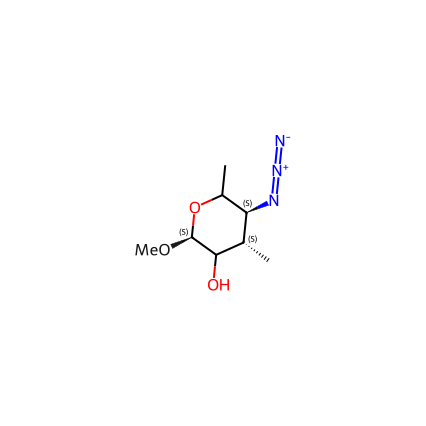 CO[C@H]1OC(C)[C@@H](N=[N+]=[N-])[C@H](C)C1O